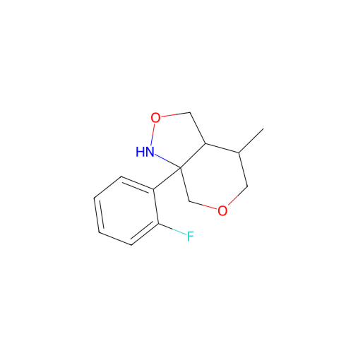 CC1COCC2(c3ccccc3F)NOCC12